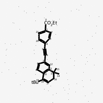 CCOC(=O)c1ccc(C#Cc2ccc3c(c2)C(C)(C)CC=C3C(C)(C)C)cc1